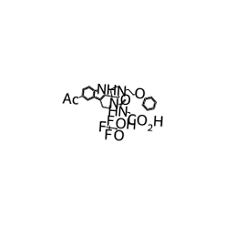 CC(=O)c1ccc2[nH]c3c(c2c1)CCN(C(=O)NCC(=O)O)C31CCN(CCOc2ccccc2)C1.O=C(O)C(F)(F)F